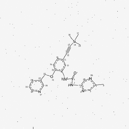 Cc1cnc(NC(=O)Nc2cc(C#C[Si](C)(C)C)ccc2OCc2cccnc2)cn1